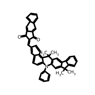 CC1(C)c2ccccc2-c2cc3c(cc21)N(c1ccccc1)c1ccc2cc(C=C4C(=O)c5cc6ccccc6cc5C4=O)ccc2c1C3(C)C